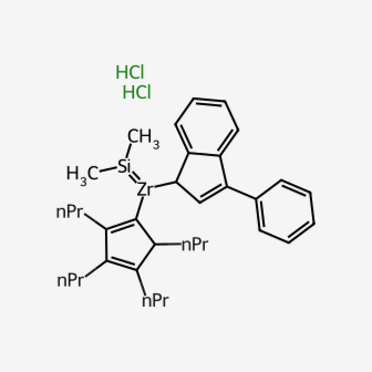 CCCC1=C(CCC)C(CCC)[C]([Zr]([CH]2C=C(c3ccccc3)c3ccccc32)=[Si](C)C)=C1CCC.Cl.Cl